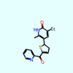 CCc1cc(C2CC=C(C(=O)c3ccccn3)S2)c(C)[nH]c1=O